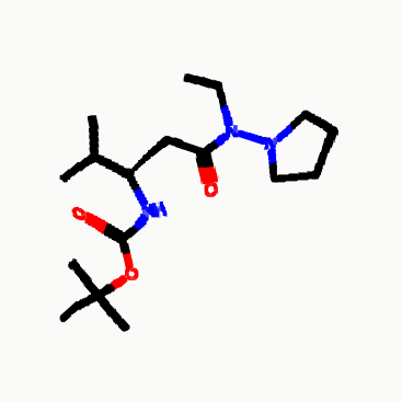 CCN(C(=O)C[C@@H](NC(=O)OC(C)(C)C)C(C)C)N1CCCC1